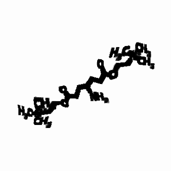 C[N+](C)(C)CCOC(=O)CCC(N)CCC(=O)OCC[N+](C)(C)C